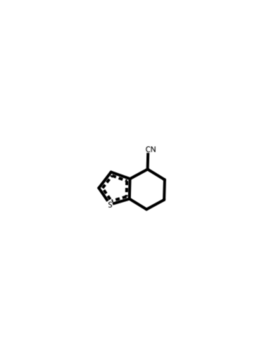 N#CC1CCCc2sccc21